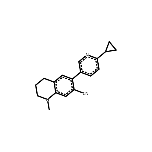 CN1CCCc2cc(-c3ccc(C4CC4)nc3)c(C#N)cc21